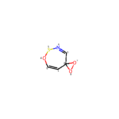 C1=CC2(C=NSO1)OO2